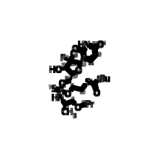 CC(C)OC[C@@H](C)N[P@@](=S)(OCCSC(=O)C(C)(C)C)OC[C@H]1O[C@@H](n2ccc(=O)[nH]c2=O)[C@@](F)(Cl)[C@@H]1O